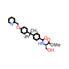 COC(=O)[C@@H](CO)NC(=O)c1ccc(C(C)(c2ccc(OCc3ccccn3)cc2)C(C)C)cc1